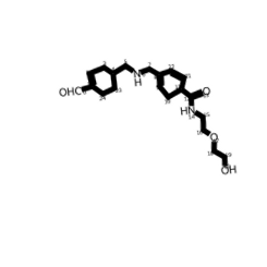 O=CC1=CCC(CNCC2=CCC(C(=O)NCCOCCO)C=C2)CC1